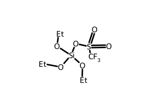 CCO[Si](OCC)(OCC)OS(=O)(=O)C(F)(F)F